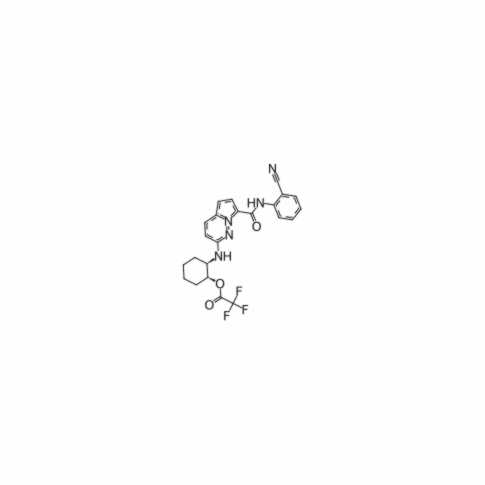 N#Cc1ccccc1NC(=O)c1ccc2ccc(N[C@@H]3CCCC[C@@H]3OC(=O)C(F)(F)F)nn12